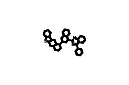 c1ccc(-c2nc(-c3cc(-c4cccc5cc6sc7ccccc7c6cc45)cc4ccccc34)nc3ccccc23)cc1